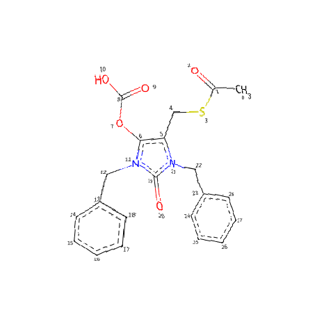 CC(=O)SCc1c(OC(=O)O)n(Cc2ccccc2)c(=O)n1Cc1ccccc1